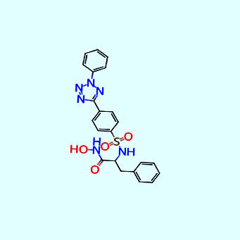 O=C(NO)C(Cc1ccccc1)NS(=O)(=O)c1ccc(-c2nnn(-c3ccccc3)n2)cc1